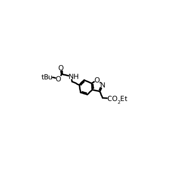 CCOC(=O)Cc1noc2cc(CNC(=O)OC(C)(C)C)ccc12